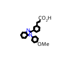 COc1ccc(-n2c(-c3cccc(/C=C/C(=O)O)c3)nc3ccccc32)cc1